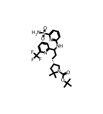 CC(C)(C)OC(=O)N1C[C@@H](CCC(Nc2cccc(S(N)(=O)=O)n2)c2cccc(C(F)(F)F)n2)CC1(C)C